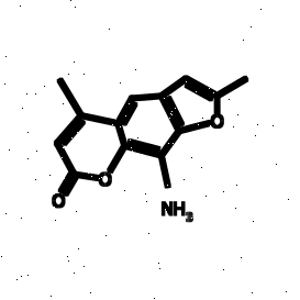 Cc1cc2cc3c(C)cc(=O)oc3c(C)c2o1.N